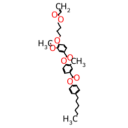 C=CC(=O)OCCCCOc1ccc(C(=O)Oc2ccc(C(=O)Oc3ccc(CCCCCC)cc3)cc2C)cc1OC